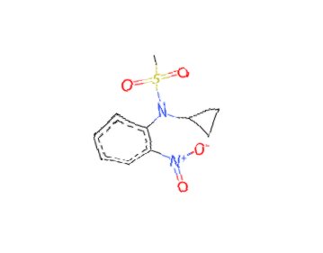 CS(=O)(=O)N(c1ccccc1[N+](=O)[O-])C1CC1